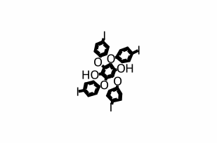 Oc1c(Oc2ccc(I)cc2)c(Oc2ccc(I)cc2)c(O)c(Oc2ccc(I)cc2)c1Oc1ccc(I)cc1